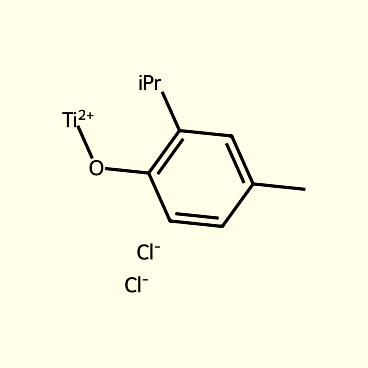 Cc1ccc([O][Ti+2])c(C(C)C)c1.[Cl-].[Cl-]